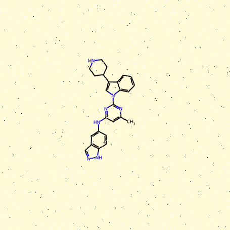 Cc1cc(Nc2ccc3[nH]ncc3c2)nc(-n2cc(C3CCNCC3)c3ccccc32)n1